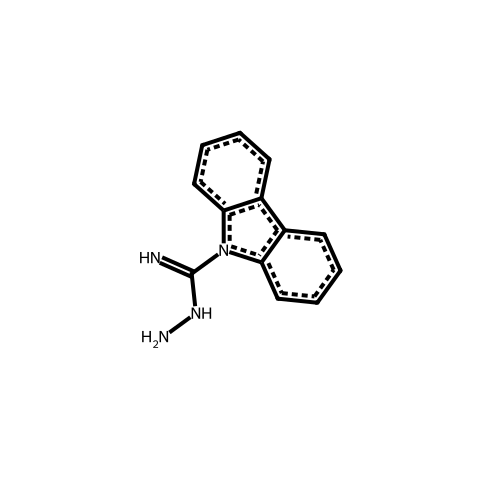 N=C(NN)n1c2ccccc2c2ccccc21